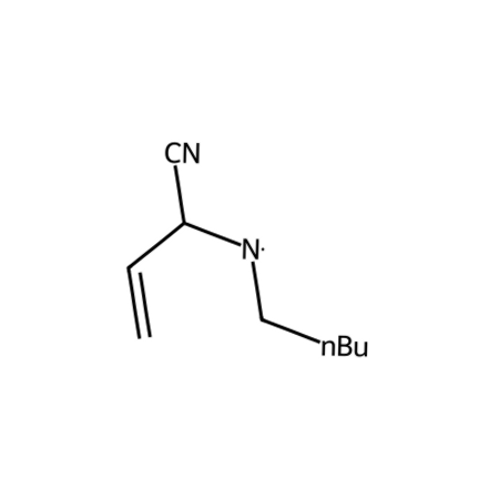 C=CC(C#N)[N]CCCCC